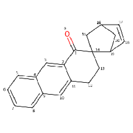 O=C1c2cc3ccccc3cc2CCC12CC1C=CC2C1